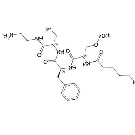 CCCCCCCCOC[C@H](NC(=O)CCCCN)C(=O)N[C@@H](Cc1ccccc1)C(=O)N[C@@H](CC(C)C)C(=O)NCCN